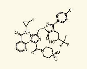 O=C(NC1CC1F)c1cccnc1-n1nc(Cn2nc(-c3ccc(Cl)cc3)n(C[C@H](O)C(F)(F)F)c2=O)nc1C(=O)N1CCS(=O)(=O)CC1